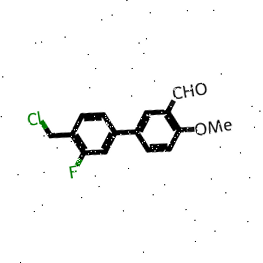 COc1ccc(-c2ccc(CCl)c(F)c2)cc1C=O